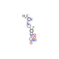 Cc1cncc(CN2CCC(c3cc4c(cc3F)C(=O)N(C3CCC(=O)NC3=O)C4)CC2)c1